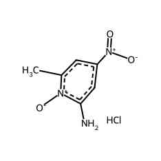 Cc1cc([N+](=O)[O-])cc(N)[n+]1[O-].Cl